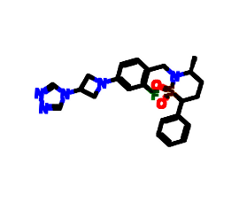 C[C@H]1CCC(c2ccccc2)S(=O)(=O)N1Cc1ccc(N2CC(n3cnnc3)C2)cc1F